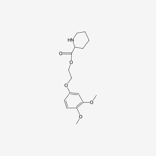 COc1ccc(OCCOC(=O)C2CCCCN2)cc1OC